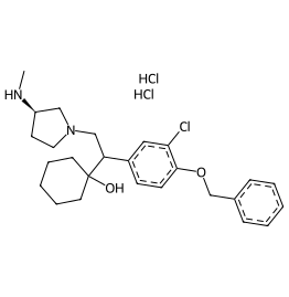 CN[C@@H]1CCN(CC(c2ccc(OCc3ccccc3)c(Cl)c2)C2(O)CCCCC2)C1.Cl.Cl